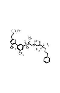 CCOC(=O)CCc1cc(C)c(-c2cc(C(F)(F)F)cc(S(=O)(=O)N(C)C[C@H](O)CNC(C)(C)CCCc3ccccc3)c2)s1